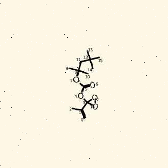 C=C(C)C1(OC(=O)OC(C)(C)CC(C)(C)C)OO1